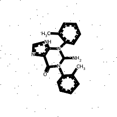 Cc1ccccc1N1C(=O)c2nc[nH]c2N(c2ccccc2C)C1N